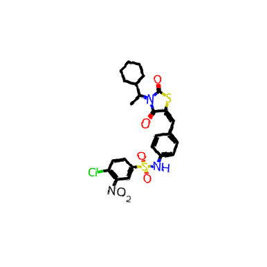 CC(C1CCCCC1)N1C(=O)SC(=Cc2ccc(NS(=O)(=O)c3ccc(Cl)c([N+](=O)[O-])c3)cc2)C1=O